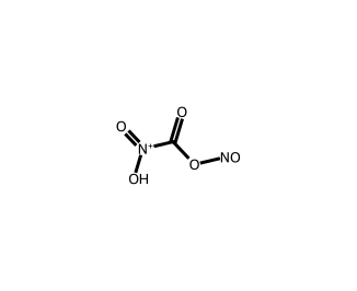 O=NOC(=O)[N+](=O)O